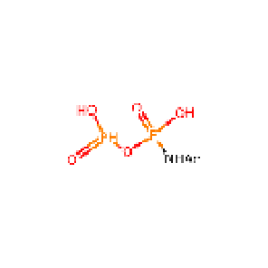 CC(=O)NP(=O)(O)O[PH](=O)O